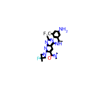 Cc1nc(N[C@H](C)c2cc(N)cc(C(F)(F)F)c2)c2cc(C(=O)N(C)C)c(N3CC(C)(F)C3)nc2n1